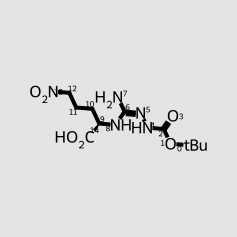 CC(C)(C)OC(=O)NN=C(N)N[C@H](CCC[N+](=O)[O-])C(=O)O